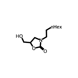 CCCCCCCCN1CC(CO)OC1=O